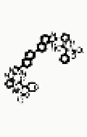 COC(=O)NC(C(=O)N1[C@@H]2CC[C@@H](C2)[C@H]1c1ncc(-c2ccc3cc(-c4ccc5c(ccc6nc([C@@H]7CCCN7C(=O)[C@H](NC(=O)OC)c7ccccc7)[nH]c65)c4)ccc3c2)[nH]1)C1CCOCC1